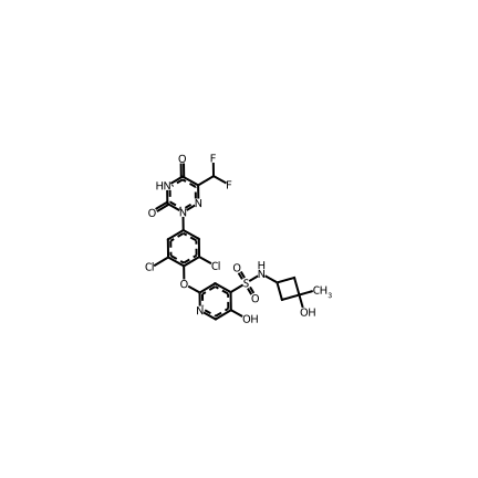 CC1(O)CC(NS(=O)(=O)c2cc(Oc3c(Cl)cc(-n4nc(C(F)F)c(=O)[nH]c4=O)cc3Cl)ncc2O)C1